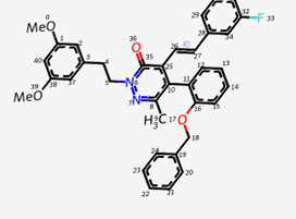 COc1cc(CCn2nc(C)c(-c3ccccc3OCc3ccccc3)c(/C=C/c3cccc(F)c3)c2=O)cc(OC)c1